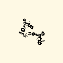 CCN(CCOS(=O)(=O)OCCN(CC)c1ccc(/N=N/c2nc(N3CCCC3)c(C=C3C(=O)c4ccccc4C3=O)s2)cc1)c1ccc(/N=N/c2nc(N3CCCC3)c(C=C3C(=O)c4ccccc4C3=O)s2)cc1